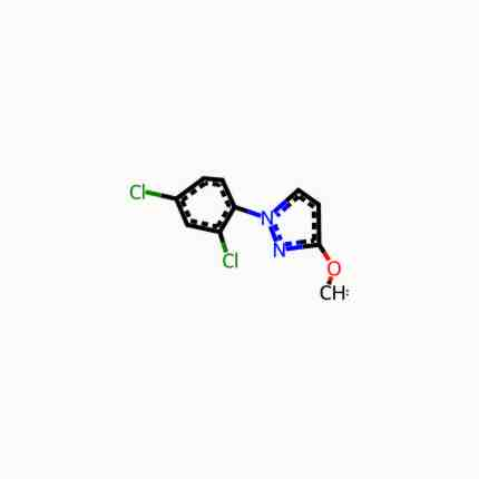 [CH]Oc1ccn(-c2ccc(Cl)cc2Cl)n1